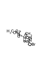 CCOC(=O)CN(C(=O)C=CCNc1cc2c(Nc3cccc(Br)c3)ncnc2cc1OC)C1CC1